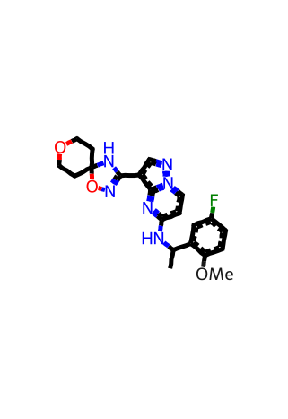 COc1ccc(F)cc1C(C)Nc1ccn2ncc(C3=NOC4(CCOCC4)N3)c2n1